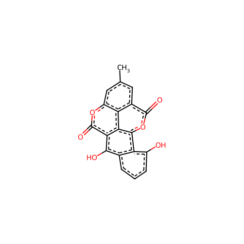 Cc1cc2oc(=O)c3c(O)c4cccc(O)c4c4oc(=O)c(c1)c2c34